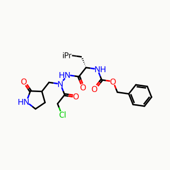 CC(C)C[C@H](NC(=O)OCc1ccccc1)C(=O)NN(CC1CCNC1=O)C(=O)CCl